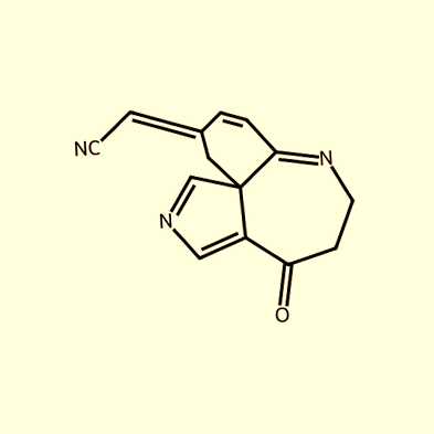 N#C/C=C1/C=CC2=NCCC(=O)C3=CN=CC32C1